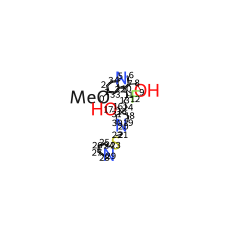 COc1ccc2ncc(CO)c([C@@H](F)CCC3(CO)CCN(CCSc4ccccn4)CC3)c2c1